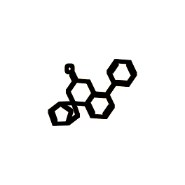 O=C1Cc2c(-c3ccccc3)cccc2C2(C1)CC1C=CC2C1